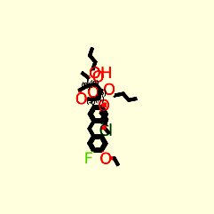 CCCCO[C@@H]1[C@@H](OCCCC)[C@@]2(c3ccc(Cl)c(Cc4ccc(OCC)c(F)c4)c3)OC[C@](C(C)O)(O2)[C@H]1OCCCC